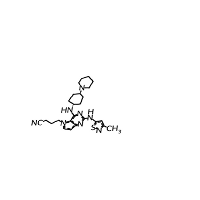 Cc1cc(Nc2nc(N[C@H]3CC[C@H](N4CCCCC4)CC3)c3c(ccn3CCCC#N)n2)sn1